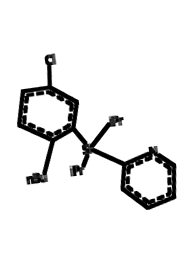 CCCCc1ccc(Cl)cc1[Si](c1ccccn1)(C(C)C)C(C)C